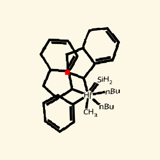 CCC[CH2][Hf]([CH3])(=[SiH2])([CH2]CCC)([c]1ccccc1)([CH]1CCC2CC=CC=C21)[CH]1CCC2CC=CC=C21